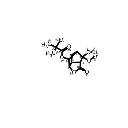 CCOC1(OCC)C2CC3C(OC(=O)C31)C2OC(=O)C(C)(C)CC